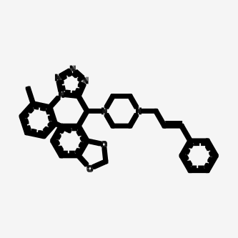 Cc1cccc(C)c1-n1nnnc1C(c1cccc2c1OCO2)N1CCN(C/C=C/c2ccccc2)CC1